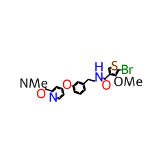 CNC(=O)c1cc(Oc2cccc(CCNC(=O)c3csc(Br)c3OC)c2)ccn1